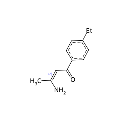 CCc1ccc(C(=O)/C=C(/C)N)cc1